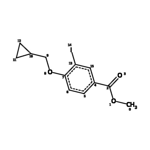 COC(=O)c1ccc(OCC2CC2)c(I)c1